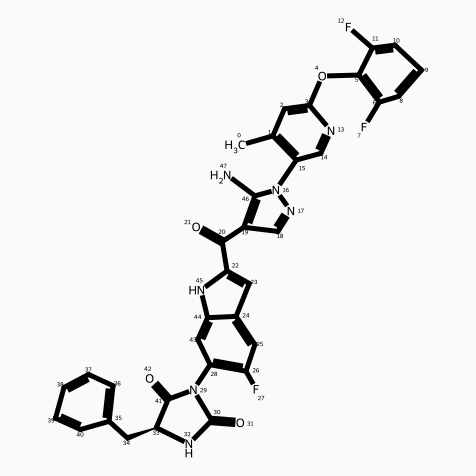 Cc1cc(Oc2c(F)cccc2F)ncc1-n1ncc(C(=O)c2cc3cc(F)c(N4C(=O)N[C@@H](Cc5ccccc5)C4=O)cc3[nH]2)c1N